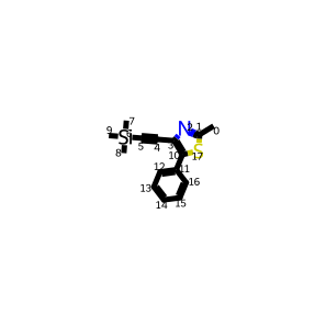 Cc1nc(C#C[Si](C)(C)C)c(-c2ccccc2)s1